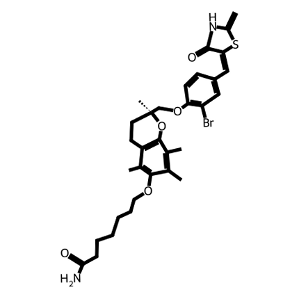 C=c1[nH]c(=O)/c(=C\c2ccc(OC[C@]3(C)CCc4c(C)c(OCCCCCCC(N)=O)c(C)c(C)c4O3)c(Br)c2)s1